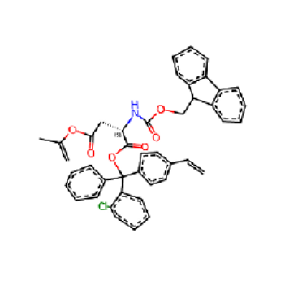 C=Cc1ccc(C(OC(=O)[C@H](CC(=O)OC(=C)C)NC(=O)OCC2c3ccccc3-c3ccccc32)(c2ccccc2)c2ccccc2Cl)cc1